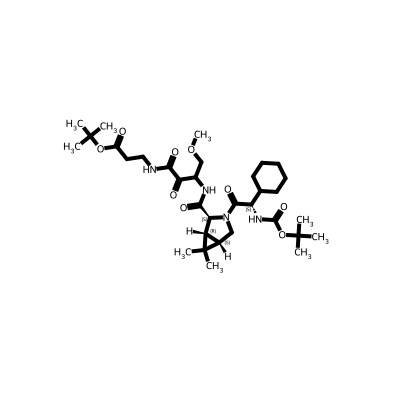 COCC(NC(=O)[C@@H]1[C@@H]2[C@H](CN1C(=O)[C@@H](NC(=O)OC(C)(C)C)C1CCCCC1)C2(C)C)C(=O)C(=O)NCCC(=O)OC(C)(C)C